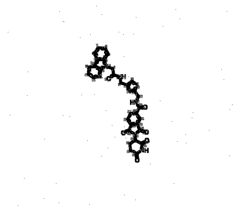 O=C(Cn1c2ccccc2c2cccnc21)NCc1csc(CNC(=O)c2ccc3c(c2)C(=O)N(C2CCC(=O)NC2=O)C3=O)n1